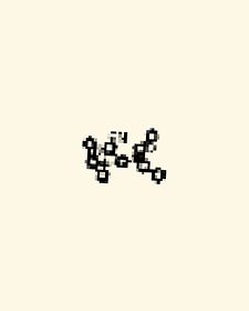 CC1(C)c2ccccc2-c2ccc3c4ccccc4n(-c4cc(C#N)cc(-c5cccc(-n6c7ccc(-c8ccccc8)cc7c7c8oc9ccccc9c8ccc76)c5)c4)c3c21